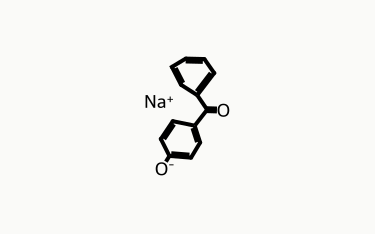 O=C(c1ccccc1)c1ccc([O-])cc1.[Na+]